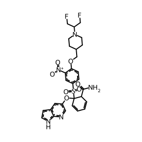 NC(=O)C1C=CC=CC1(Oc1cnc2[nH]ccc2c1)S(=O)(=O)c1ccc(OCC2CCN(C(CF)CF)CC2)c([N+](=O)[O-])c1